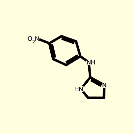 O=[N+]([O-])c1ccc(NC2=NCCN2)cc1